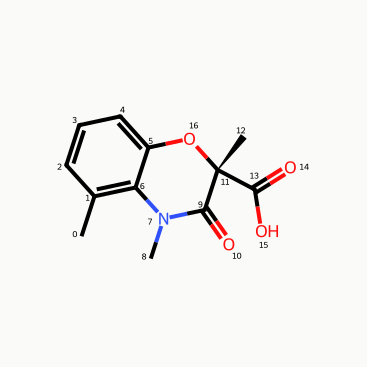 Cc1cccc2c1N(C)C(=O)[C@@](C)(C(=O)O)O2